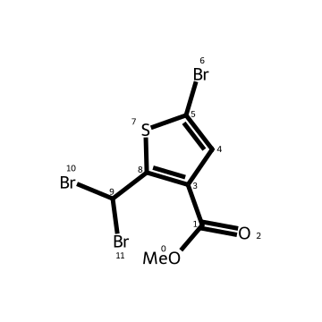 COC(=O)c1cc(Br)sc1C(Br)Br